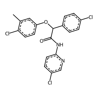 Cc1cc(OC(C(=O)Nc2ccc(Cl)cn2)c2ccc(Cl)cc2)ccc1Cl